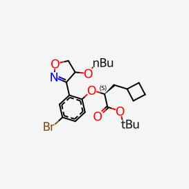 CCCCOC1CON=C1c1cc(Br)ccc1O[C@@H](CC1CCC1)C(=O)OC(C)(C)C